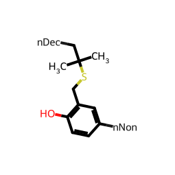 CCCCCCCCCCCC(C)(C)SCc1cc(CCCCCCCCC)ccc1O